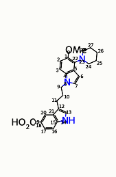 COc1ccc2c(ccn2CCCc2c[nH]c3ccc(C(=O)O)cc23)c1N1CCCCC1